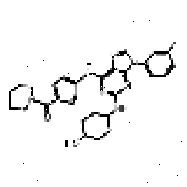 O=C(c1ccc(Nc2nc(NC3CCC(O)CC3)nc3c2ncn3-c2cccc(F)c2)cc1)N1CCCCC1